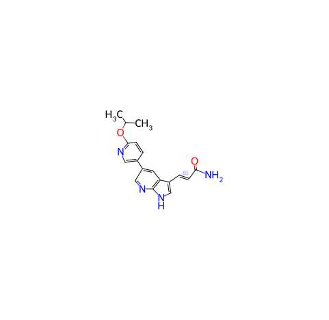 CC(C)Oc1ccc(-c2cnc3[nH]cc(/C=C/C(N)=O)c3c2)cn1